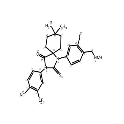 CNCc1ccc(N2C(=S)N(c3ccc(C#N)c(C(F)(F)F)c3)C(=O)C23CCC(C)(C)CC3)cc1F